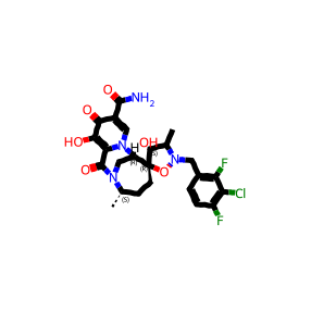 CC1[C@H](O)[C@]2(CC[C@H](C)N3C[C@H]2n2cc(C(N)=O)c(=O)c(O)c2C3=O)ON1Cc1ccc(F)c(Cl)c1F